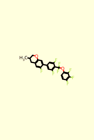 CC1COc2cc(-c3cc(F)c(C(F)(F)Oc4ccc(F)c(F)c4F)c(F)c3)c(F)cc2C1